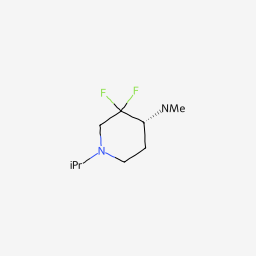 CN[C@@H]1CCN(C(C)C)CC1(F)F